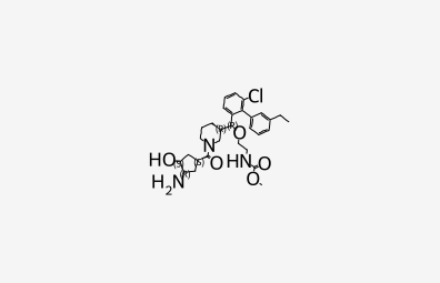 CCc1cccc(-c2c(Cl)cccc2[C@H](OCCNC(=O)OC)[C@@H]2CCCN(C(=O)[C@H]3C[C@@H](N)[C@@H](O)C3)C2)c1